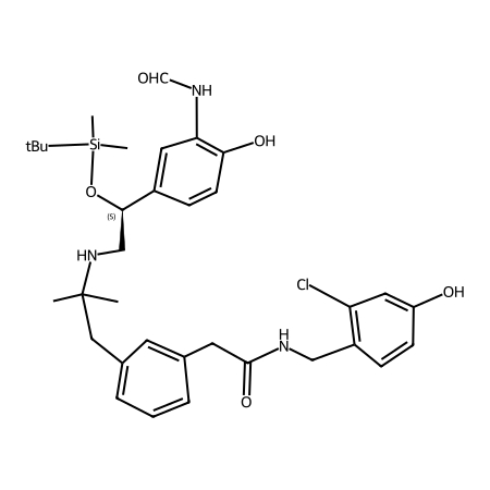 CC(C)(Cc1cccc(CC(=O)NCc2ccc(O)cc2Cl)c1)NC[C@@H](O[Si](C)(C)C(C)(C)C)c1ccc(O)c(NC=O)c1